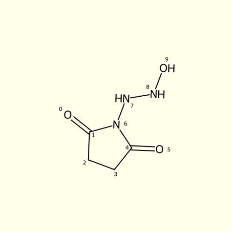 O=C1CCC(=O)N1NNO